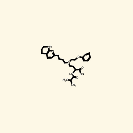 CC(C)C(=O)NC(CCN(CCCCc1ccc2c(n1)NCCC2)CCOc1ccccc1)C(=O)O